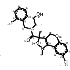 CN1NC(C)(C(=O)N(CCO)Cc2ccccc2F)C2=C1c1cc(Cl)ccc1OC2